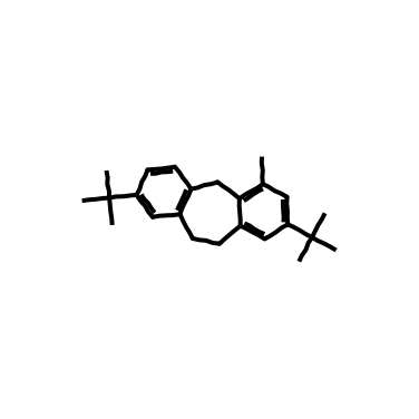 Cc1cc(C(C)(C)C)cc2c1Cc1ccc(C(C)(C)C)cc1CC2